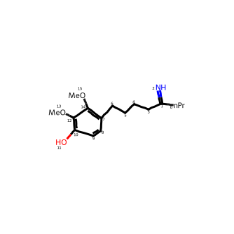 CCCC(=N)CCCCc1ccc(O)c(OC)c1OC